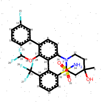 CC1(O)CCN(c2ccc(-c3cccc(F)c3)c(OC(F)F)c2-c2c(C(F)(F)F)cccc2S(N)(=O)=O)CC1